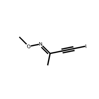 CO/N=C(\C)C#CI